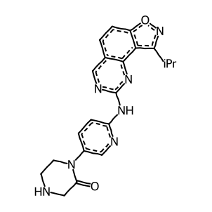 CC(C)c1noc2ccc3cnc(Nc4ccc(N5CCNCC5=O)cn4)nc3c12